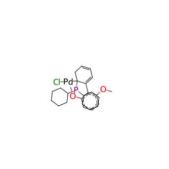 COc1cccc(OC)c1C1=CC=CC[C]1([Pd][Cl])P(C1CCCCC1)C1CCCCC1